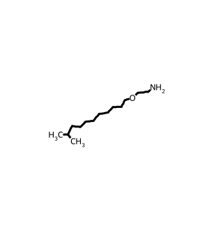 CC(C)CCCCCCCCCOCCN